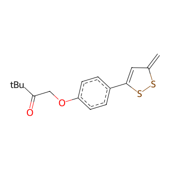 C=C1C=C(c2ccc(OCC(=O)C(C)(C)C)cc2)SS1